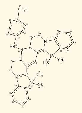 CC1(C)C2=C3C=C4C5=[N+](CCC4N(Nc4ccc(C(=O)O)cc4)C3CCN2c2ccccc21)c1ccccc1C5(C)C